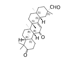 CC1(C)C(=O)CC[C@]2(C)[C@H]3C(=O)C=C4[C@H]5C[C@@](C)(C=O)CC[C@]5(C)CC[C@@]4(C)[C@]3(C)CC[C@@H]12